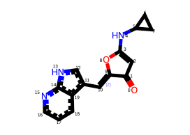 O=C1C=C(NC2CC2)O/C1=C\c1c[nH]c2ncccc12